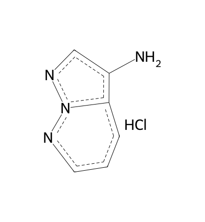 Cl.Nc1cnn2ncccc12